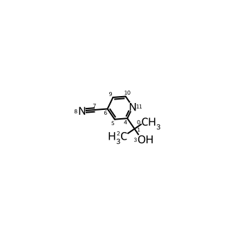 CC(C)(O)c1cc(C#N)ccn1